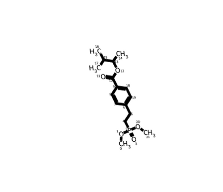 COP(=O)(CCc1ccc(C(=O)OC(C)C(C)C)cc1)OC